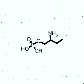 CCC(N)COP(=O)(O)O